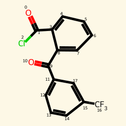 O=C(Cl)c1ccccc1C(=O)c1cccc(C(F)(F)F)c1